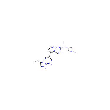 CCc1cnc2ncc(-c3ccn4nc(NC5CN(C)C5)ncc34)cn12